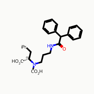 CC(C)C[C@@H](C(=O)O)N(CCCNC(=O)C(c1ccccc1)c1ccccc1)C(=O)O